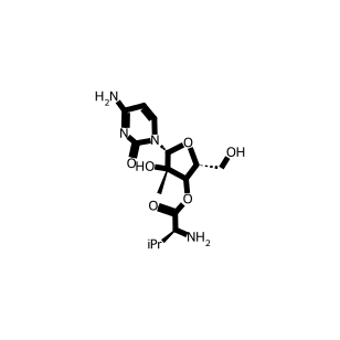 CC(C)[C@H](N)C(=O)OC1[C@@H](CO)O[C@@H](n2ccc(N)nc2=O)[C@@]1(C)O